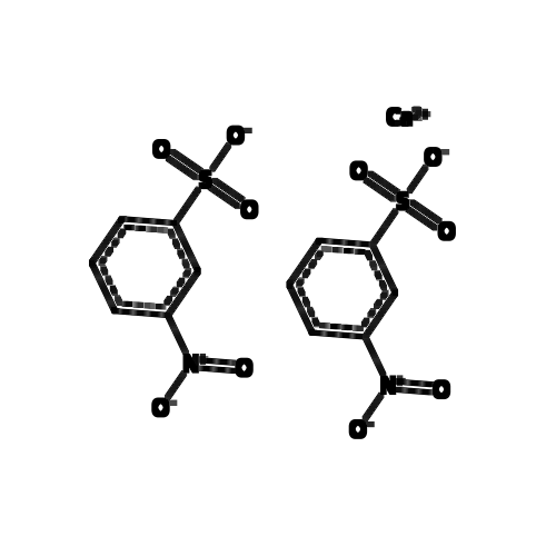 O=[N+]([O-])c1cccc(S(=O)(=O)[O-])c1.O=[N+]([O-])c1cccc(S(=O)(=O)[O-])c1.[Ca+2]